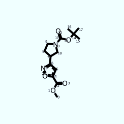 COC(=O)c1cc(C2CCN(C(=O)OC(C)(C)C)C2)no1